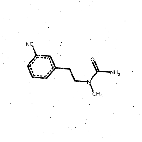 CN(CCc1cccc(C#N)c1)C(N)=O